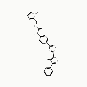 Cn1cccc1CNC(=O)[C@@H](O)c1ccc(-c2noc(-c3onc(-c4ccccc4)c3C(F)(F)F)n2)cc1